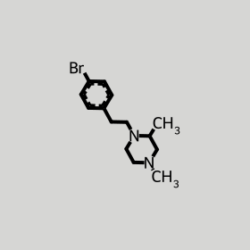 CC1CN(C)CCN1CCc1ccc(Br)cc1